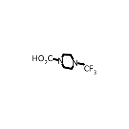 O=C(O)N1CCN(CC(F)(F)F)CC1